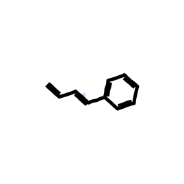 C=[C]/C=C/c1ccccc1